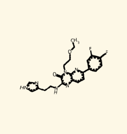 CCOCCn1c(=O)c(NCCc2c[nH]cn2)nc2ccc(-c3ccc(F)c(F)c3)nc21